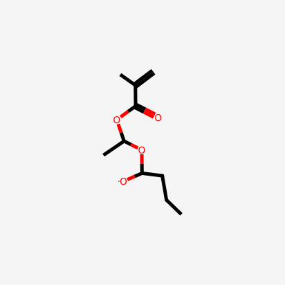 C=C(C)C(=O)OC(C)OC([O])CCC